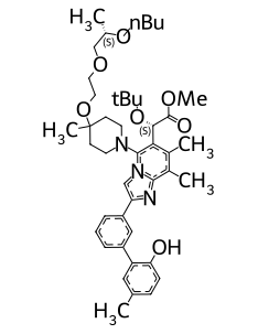 CCCCO[C@@H](C)COCCOC1(C)CCN(c2c([C@H](OC(C)(C)C)C(=O)OC)c(C)c(C)c3nc(-c4cccc(-c5cc(C)ccc5O)c4)cn23)CC1